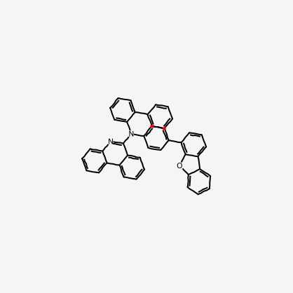 c1ccc(-c2ccccc2N(c2ccc(-c3cccc4c3oc3ccccc34)cc2)c2nc3ccccc3c3ccccc23)cc1